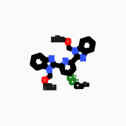 CCCCOCn1c(-c2cccc(-c3nc4ccccc4n3COCCCC)n2)nc2ccccc21.[Cl-].[Cl-].[Co+2]